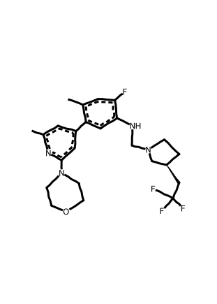 Cc1cc(-c2cc(NCN3CC[C@@H](CC(F)(F)F)C3)c(F)cc2C)cc(N2CCOCC2)n1